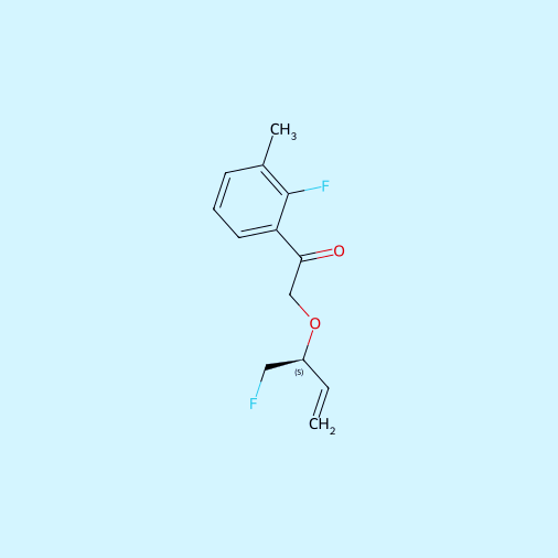 C=C[C@@H](CF)OCC(=O)c1cccc(C)c1F